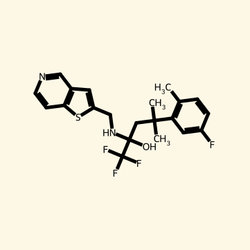 Cc1ccc(F)cc1C(C)(C)CC(O)(NCc1cc2cnccc2s1)C(F)(F)F